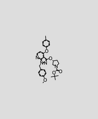 COc1ccc(Cn2nc(O[C@@H]3CCN(C(=O)OC(C)(C)C)C3)c3c(Oc4ccc(C)cc4)ccnc32)cc1